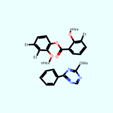 CCCCCCOc1c(CC)cccc1C(=O)Oc1ccc(CC)c(CC)c1OCCCCCC.COc1ncnc(-c2ccccc2)n1